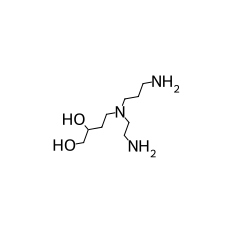 NCCCN(CCN)CCC(O)CO